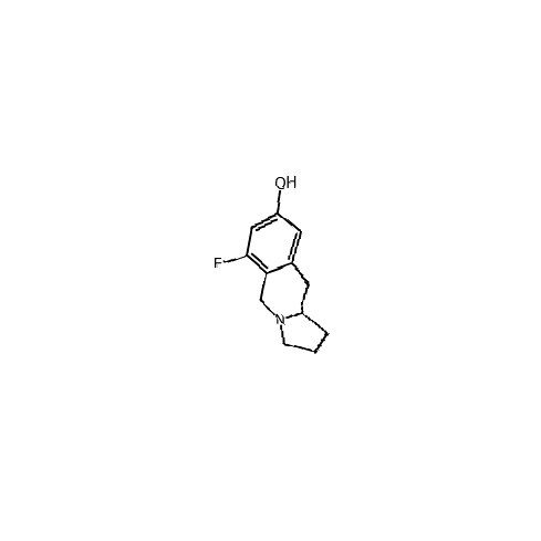 Oc1cc(F)c2c(c1)CC1CCCN1C2